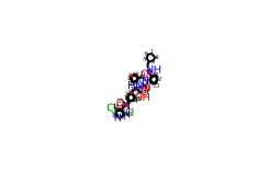 O=C(NCC1CCCCC1)c1ccccc1N(Cc1ccccc1)C(=O)N[C@@H](Cc1ccc(NC(=O)c2c(Cl)cncc2Cl)cc1)C(=O)O